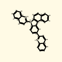 c1ccc2nc(-c3ccc4c(c3)c3c5ccccc5ccc3n4-c3ccc4ccccc4n3)ccc2c1